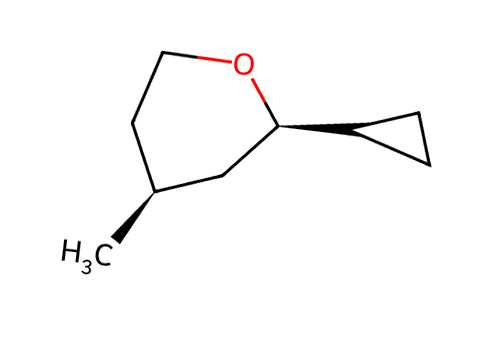 C[C@H]1CCO[C@@H](C2CC2)C1